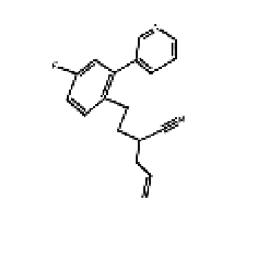 C=CCC(C#N)CCc1ccc(F)cc1-c1cccnc1